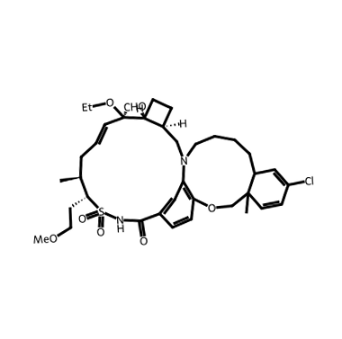 CCO[C@]1(C=O)/C=C/C[C@H](C)[C@@H](CCOC)S(=O)(=O)NC(=O)c2ccc3c(c2)N(CCCCC2C=C(Cl)C=CC2(C)CO3)C[C@@H]2CC[C@H]21